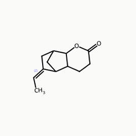 C/C=C1/CC2CC1C1CCC(=O)OC21